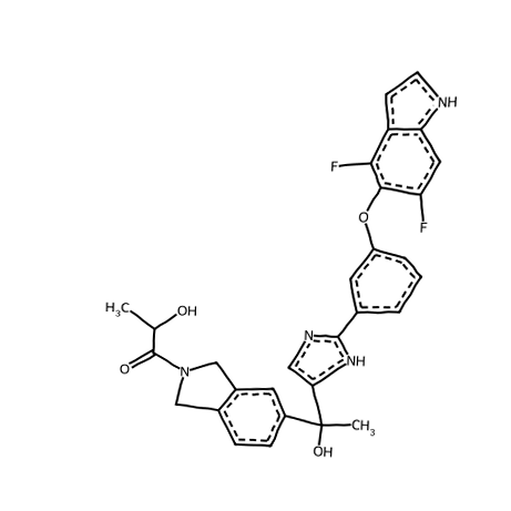 CC(O)C(=O)N1Cc2ccc(C(C)(O)c3cnc(-c4cccc(Oc5c(F)cc6[nH]ccc6c5F)c4)[nH]3)cc2C1